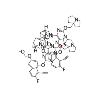 C#Cc1c(F)ccc2cc(OC(=O)N3[C@H]4CC[C@@]3(C(C)(C)C)CN(c3nc(OCC56CCCN5CCC6)nc5sc(Oc6cc(OCOC)cc7ccc(F)c(C#C)c67)nc35)C4)cc(Oc3nc4c(N5C[C@H]6CC[C@@H](C5)N6)nc(OCC56CCCN5CCC6)nc4s3)c12